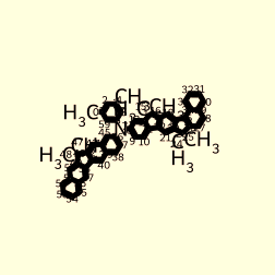 Cc1cc(C)cc(N(c2ccc3c(c2)C(C)(C)c2cc4c(cc2-3)C(C)(C)c2ccc3ccccc3c2-4)c2ccc3cc4c(cc3c2)C(C)(C)c2cc3ccccc3cc2-4)c1